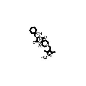 CCCCN1C(=O)[C@@H](CC2(O)CCCCC2)NC(=O)C12CCN(Cc1c(C)nn(C(C)(C)C)c1C)CC2